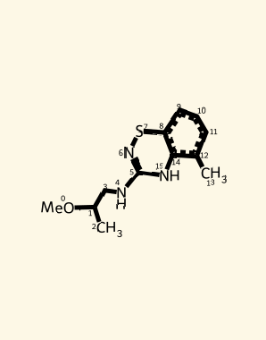 COC(C)CNC1=NSc2cccc(C)c2N1